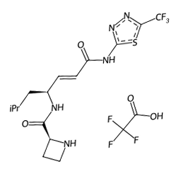 CC(C)C[C@@H](C=CC(=O)Nc1nnc(C(F)(F)F)s1)NC(=O)[C@@H]1CCN1.O=C(O)C(F)(F)F